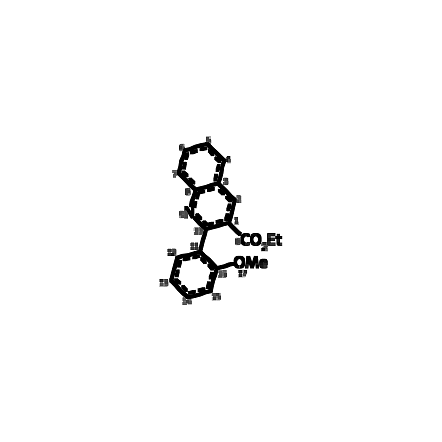 CCOC(=O)c1cc2ccccc2nc1-c1ccccc1OC